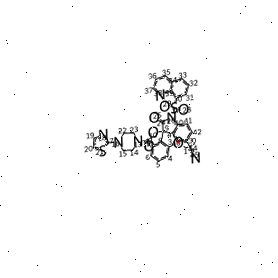 CCOc1ccccc1C1(OC(=O)N2CCN(c3nccs3)CC2)C(=O)N(S(=O)(=O)c2cccc3cccnc23)c2ccc(C#N)cc21